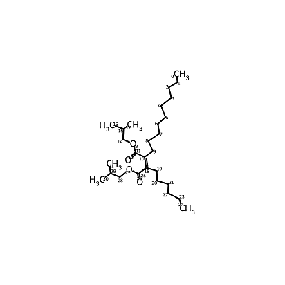 CCCCCCCCCC/C(C(=O)OCC(C)C)=C(\CCCCCC)C(=O)OCC(C)C